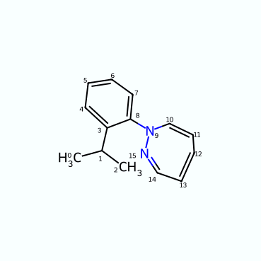 CC(C)c1ccccc1N1C=CC=CC=N1